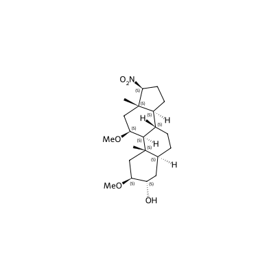 CO[C@H]1C[C@]2(C)[C@@H]([N+](=O)[O-])CC[C@H]2[C@@H]2CC[C@H]3C[C@H](O)[C@@H](OC)C[C@]3(C)[C@H]21